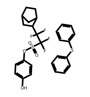 O=S(=O)(Oc1ccc(O)cc1)C(F)(F)C(F)(F)C1CC2CCC1C2.c1ccc(Sc2ccccc2)cc1